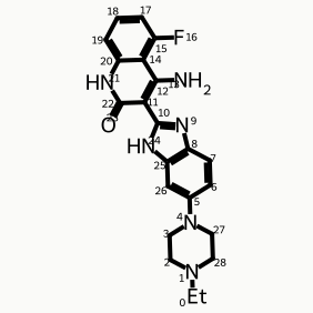 CCN1CCN(c2ccc3nc(-c4c(N)c5c(F)cccc5[nH]c4=O)[nH]c3c2)CC1